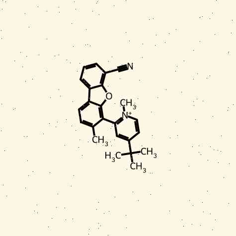 Cc1ccc2c(oc3c(C#N)cccc32)c1-c1cc(C(C)(C)C)cc[n+]1C